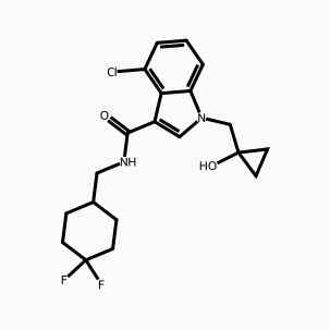 O=C(NCC1CCC(F)(F)CC1)c1cn(CC2(O)CC2)c2cccc(Cl)c12